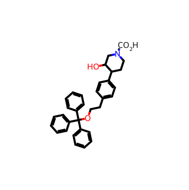 O=C(O)N1CCC(c2ccc(CCOC(c3ccccc3)(c3ccccc3)c3ccccc3)cc2)C(O)C1